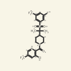 CC(C)(C1CCN(C(=O)c2ncc(C(F)(F)F)cc2Cl)CC1)S(=O)(=O)c1cc(F)cc(C(F)(F)F)c1